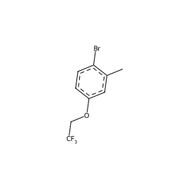 Cc1cc(OCC(F)(F)F)ccc1Br